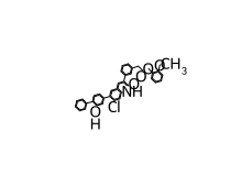 COc1ccccc1OC(=O)Cc1cccc(-c2cc3cc(-c4ccc(-c5ccccc5)c(O)c4)c(Cl)cc3[nH]c2=O)c1